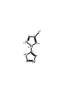 Ic1cnn(-c2cncs2)c1